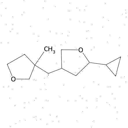 CC1([CH]C2COC(C3CC3)C2)CCOC1